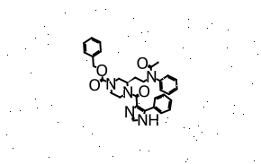 CC(=O)N(CC[C@@H]1CN(C(=O)OCc2ccccc2)CCN1C(=O)c1nc[nH]c1-c1ccccc1)c1ccccc1